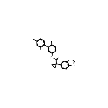 Cc1ccc(-c2cc(NC(=O)C3(c4ccc5c(c4)OCO5)CC3)ccc2C)c(F)c1